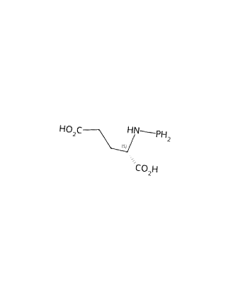 O=C(O)CC[C@H](NP)C(=O)O